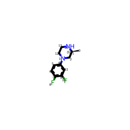 C[C@H]1CN(c2ccc(F)c(F)c2)CCN1